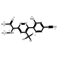 C#Cc1ccc(-c2nnc(C(NC)C(N)=O)cc2C(F)(F)F)c(O)c1